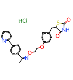 CC(=NOCCOc1ccc(CC2SC(=O)NC2=O)cc1)c1ccc(-c2ccccn2)cc1.Cl